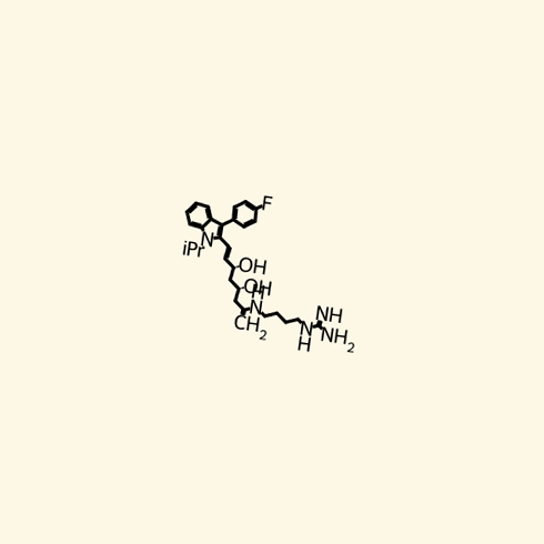 C=C(C[C@@H](O)C[C@@H](O)/C=C/c1c(-c2ccc(F)cc2)c2ccccc2n1C(C)C)NCCCCNC(=N)N